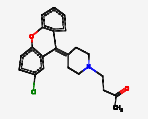 CC(=O)CCN1CCC(=C2c3ccccc3Oc3ccc(Cl)cc32)CC1